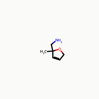 CC1(CN)C=CCO1